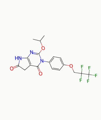 CC(C)Oc1nc2c(c(=O)n1-c1ccc(OCC(F)(F)C(F)(F)F)cc1)CC(=O)N2